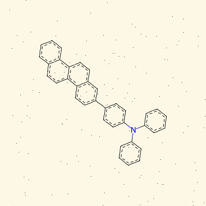 c1ccc(N(c2ccccc2)c2ccc(-c3ccc4c(ccc5c6ccccc6ccc45)c3)cc2)cc1